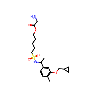 Cc1ccc(C(C)NS(=O)(=O)CCCCCOC(=O)CN)cc1OCC1CC1